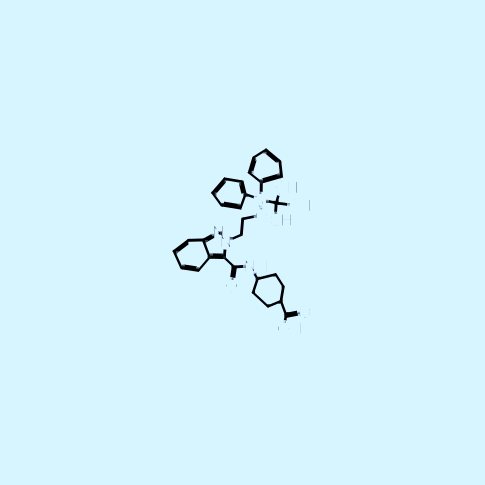 CC(C)(C)[Si](OCCn1nc2ccccc2c1C(=O)NC1CCC(C(=O)O)CC1)(c1ccccc1)c1ccccc1